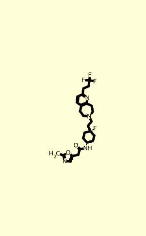 Cc1ncc(CC(=O)N[C@H]2CC[C@](F)(CCN3CCc4ccc(CCC(F)(F)F)nc4CC3)CC2)o1